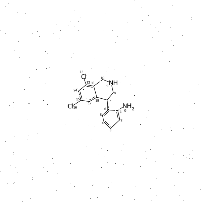 Nc1ccccc1[C@@H]1CNCc2c(Cl)cc(Cl)cc21